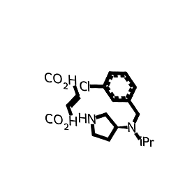 CC(C)N(Cc1cccc(Cl)c1)[C@H]1CCNC1.O=C(O)/C=C/C(=O)O